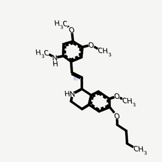 CCCCOc1cc2c(cc1OC)C(/C=C/c1cc(OC)c(OC)cc1NC)NCC2